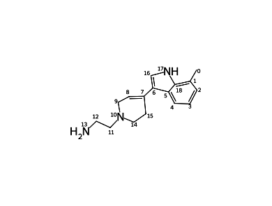 Cc1cccc2c(C3=CCN(CCN)CC3)c[nH]c12